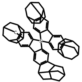 c1c2c(cc3c1C1CC4CC(C1)CC3C4)[Si]1(c3cc4c(cc3-2)C2CC3CC(C2)CC4C3)c2cc3c(cc2-c2cc4c(cc21)C1CC2CC(CC4C2)C1)C1CC2CC(C1)CC3C2